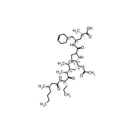 CCCCN(C)CC(=O)N[C@@H](CCC)C(=O)N(C)[C@H](C[C@@H](OC(C)=O)[C@H]1NC(C(=O)N[C@@H](C[C@@H]2CC=CCC2)C[C@H](C)C(=O)O)CS1)C(C)C